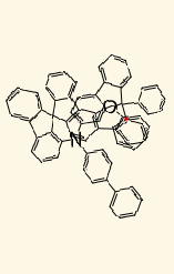 c1ccc(-c2ccc(N(c3ccc4c(c3)C(c3ccccc3)(c3ccccc3)c3ccccc3-4)c3cccc4c3C3(c5ccccc5-4)c4ccccc4-c4c3ccc3c4oc4ccccc43)cc2)cc1